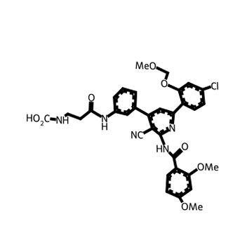 COCOc1cc(Cl)ccc1-c1cc(-c2cccc(NC(=O)CCNC(=O)O)c2)c(C#N)c(NC(=O)c2ccc(OC)cc2OC)n1